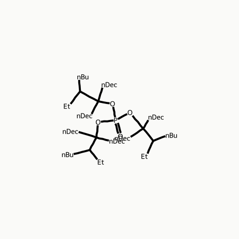 CCCCCCCCCCC(CCCCCCCCCC)(OP(=O)(OC(CCCCCCCCCC)(CCCCCCCCCC)C(CC)CCCC)OC(CCCCCCCCCC)(CCCCCCCCCC)C(CC)CCCC)C(CC)CCCC